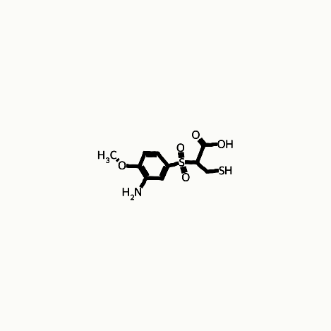 COc1ccc(S(=O)(=O)C(CS)C(=O)O)cc1N